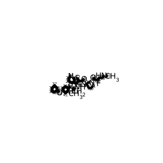 C=c1[nH]c2c(C(=O)N[C@@H]3CCCN(C(=O)/C(F)=C/CNC)C3)sc3nccc(c32)n1-c1ccc(Oc2ccccc2)cc1C